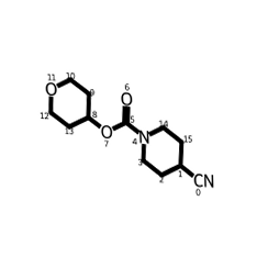 N#CC1CCN(C(=O)OC2CCOCC2)CC1